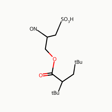 CC(C)(C)CC(C(=O)OCC(CS(=O)(=O)O)N=O)C(C)(C)C